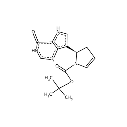 CC(C)(C)OC(=O)N1C=CC[C@@H]1c1c[nH]c2c(=O)[nH]cnc12